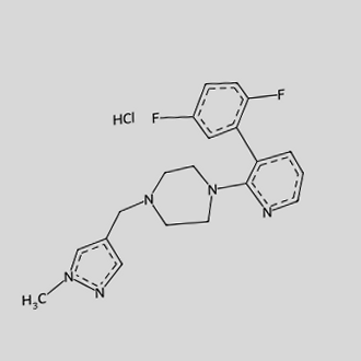 Cl.Cn1cc(CN2CCN(c3ncccc3-c3cc(F)ccc3F)CC2)cn1